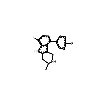 CC1Cc2[nH]c3c(F)ccc(-c4ccc(F)cc4)c3c2CN1